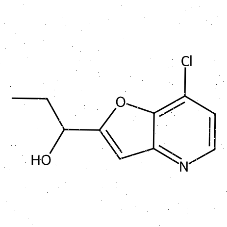 CCC(O)c1cc2nccc(Cl)c2o1